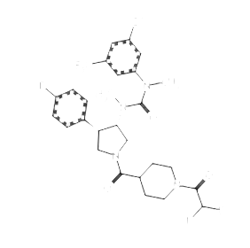 CN(C(=O)N(C)[C@@H]1CN(C(=O)C2CCN(C(=O)C(F)F)CC2)C[C@H]1c1ccc(F)cc1)c1cc(C(F)(F)F)cc(C(F)(F)F)c1